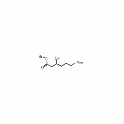 CCCCCCCCC(O)CC(=O)OBr